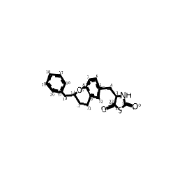 O=C1NC(Cc2ccc3c(c2)CCC(Cc2ccccc2)O3)C(=O)S1